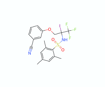 Cc1cc(C)c(S(=O)(=O)NC(I)(COc2cccc(C#N)c2)C(F)(F)F)c(C)c1